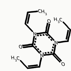 C/C=C\n1c(=O)n(/C=C\C)c(=O)n(/C=C\C)c1=O